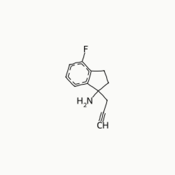 C#CCC1(N)CCc2c(F)cccc21